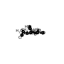 CC1(C)CCC(CN2CCN(c3ccc(C(=O)NS(=O)(=O)c4ccc(NCC5CCOCC5)c([N+](=O)O)c4)c(Oc4cnc5[nH]ccc5c4)c3)CC2)=C(c2ccc(Cl)cc2)C1